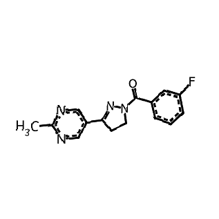 Cc1ncc(C2=NN(C(=O)c3cccc(F)c3)CC2)cn1